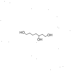 OCCCCC(O)CCO